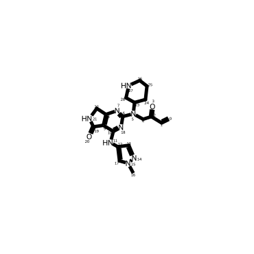 C=CC(=O)CN(c1nc2c(c(Nc3cnn(C)c3)n1)C(=O)NC2)C1CCCNC1